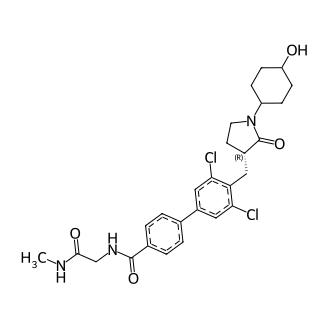 CNC(=O)CNC(=O)c1ccc(-c2cc(Cl)c(C[C@@H]3CCN(C4CCC(O)CC4)C3=O)c(Cl)c2)cc1